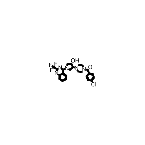 O=C(c1ccc(Cl)cc1)N1CCN(C2CN(c3nc(C(F)(F)F)nc4ccccc34)CC2O)CC1